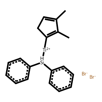 CC1=CC[C]([Ti+2][SiH](c2ccccc2)c2ccccc2)=C1C.[Br-].[Br-]